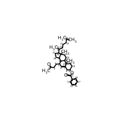 CC(=O)CCC1C=C2CC(OC(=O)c3ccccc3)CCC2(C)C2CCC3(C)C(C(C)CCCC(C)C)CCC3C12